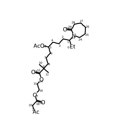 CCC(CCCC(CCCC(C)(C)C(=O)OCCOC(=O)CC(C)=O)OC(C)=O)N1CCCCCC1=O